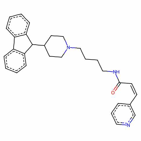 O=C(/C=C\c1cccnc1)NCCCCN1CCC(C2c3ccccc3-c3ccccc32)CC1